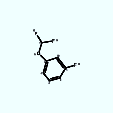 Fc1[c]ccc(OC(F)F)c1